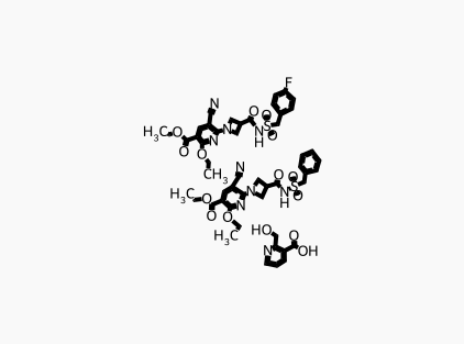 CCOC(=O)c1cc(C#N)c(N2CC(C(=O)NS(=O)(=O)Cc3ccc(F)cc3)C2)nc1OCC.CCOC(=O)c1cc(C#N)c(N2CC(C(=O)NS(=O)(=O)Cc3ccccc3)C2)nc1OCC.O=C(O)c1cccnc1CO